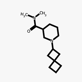 CN(C)C(=O)C1CCCN(C2CC3(CCC3)C2)C1